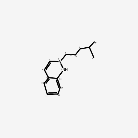 CC(C)CCCB1C=Cc2ccccc2N1